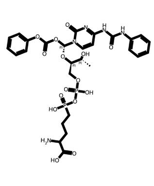 C[C@@H](O)[C@@H](COP(=O)(O)OP(=O)(O)CCCC(N)C(=O)O)O[C@H](OC(=O)Oc1ccccc1)n1ccc(NC(=O)Nc2ccccc2)nc1=O